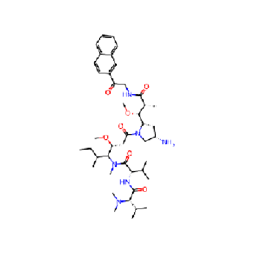 CC[C@H](C)C([C@@H](CC(=O)N1C[C@@H](N)C[C@H]1[C@H](OC)[C@@H](C)C(=O)NCC(=O)c1ccc2ccccc2c1)OC)N(C)C(=O)[C@@H](NC(=O)[C@H](C(C)C)N(C)C)C(C)C